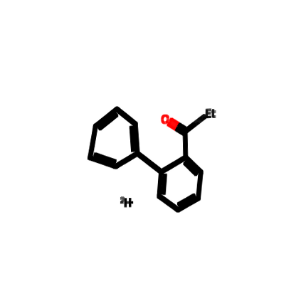 CCC(=O)c1ccccc1-c1ccccc1.[2H]